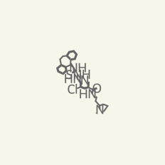 CN1CCCC1CCNC(=O)c1cnc(NNC(=S)NC2c3ccccc3CCc3ccccc32)c(Cl)c1